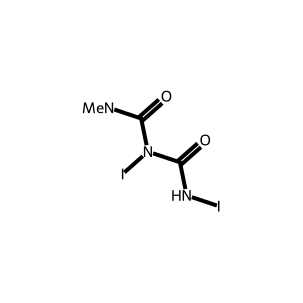 CNC(=O)N(I)C(=O)NI